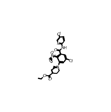 CCOC(=O)C1CCN(c2cc(Cl)cc(C(=O)Nc3ccc(Cl)cn3)c2[N+](=O)[O-])CC1